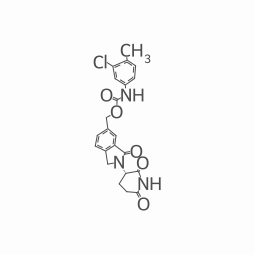 Cc1ccc(NC(=O)OCc2ccc3c(c2)C(=O)N([C@H]2CCC(=O)NC2=O)C3)cc1Cl